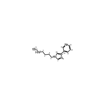 CC(C)(C)NCCCCn1cnc(-c2cccnc2)c1